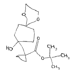 CC(C)(C)OC(=O)C1(C2(O)CCC3(CC2)OCCO3)CC1